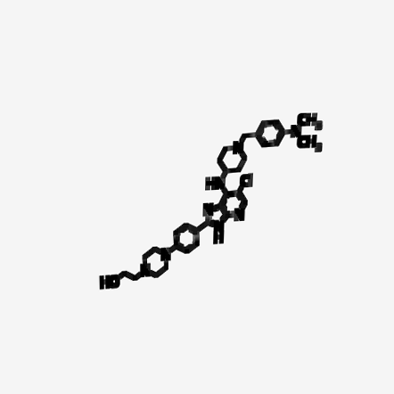 CN(C)c1ccc(CN2CCC(Nc3c(Cl)cnc4[nH]c(-c5ccc(N6CCN(CCO)CC6)cc5)nc34)CC2)cc1